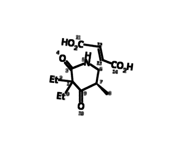 CCC1(CC)C(=O)NC[C@@H](C)C1=O.O=C(O)/C=C/C(=O)O